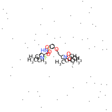 CC(C)(C)OC(=O)N1CC(CCCOc2cccc(S(=O)(=O)NC(=O)c3ccc(C(C)(C)C)nc3F)c2)CC1(C)C